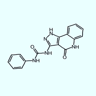 O=C(Nc1ccccc1)Nc1n[nH]c2c1c(=O)[nH]c1ccccc12